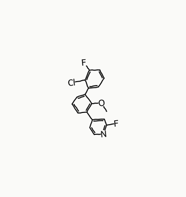 COc1c(-c2ccnc(F)c2)cccc1-c1cccc(F)c1Cl